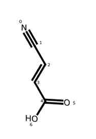 N#CC=CC(=O)O